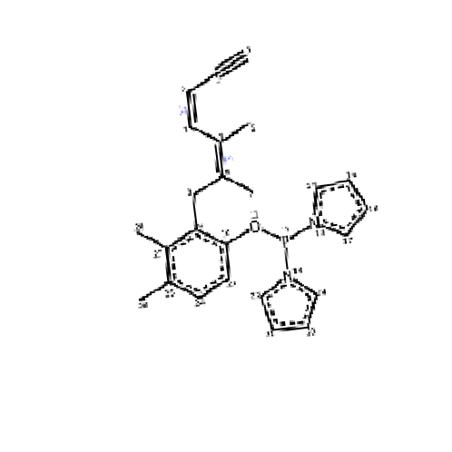 C#C/C=C\C(C)=C(\C)Cc1c(OP(n2cccc2)n2cccc2)ccc(C)c1C